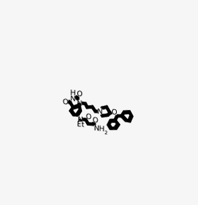 CCN(C(=O)CC(N)=O)c1ccc2c(=O)[nH]c(=O)n(CCCCN3CCC(OC(c4ccccc4)c4ccccc4)CC3)c2c1